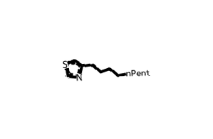 CCCCCCCCCc1cs[c]n1